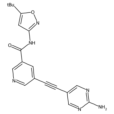 CC(C)(C)c1cc(NC(=O)c2cncc(C#Cc3cnc(N)nc3)c2)no1